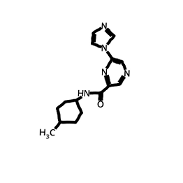 CC1CCC(NC(=O)c2cncc(-n3ccnc3)n2)CC1